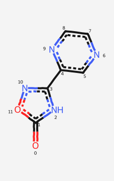 O=c1[nH]c(-c2cnccn2)no1